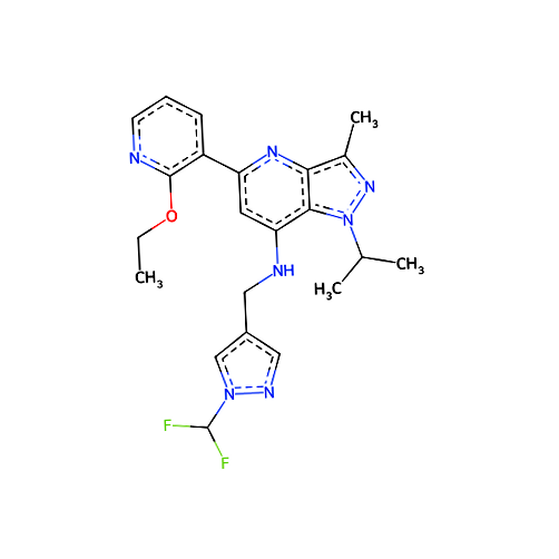 CCOc1ncccc1-c1cc(NCc2cnn(C(F)F)c2)c2c(n1)c(C)nn2C(C)C